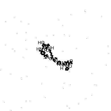 CC(=O)c1c(C)c2cnc(Nc3ccc(N4CCN(C(=O)CCCCCC(=O)NC(C(=O)N5C[C@H](O)C[C@H]5C(=O)NC(C)c5ccc(-c6scnc6C)cc5)C(C)(C)C)CC4)cn3)nc2n(C2CCCC2)c1=O